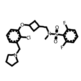 CN(CC1CC(Oc2cccc(CN3CCCC3)c2Cl)C1)S(=O)(=O)c1c(F)cccc1F